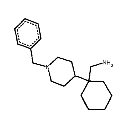 NCC1(C2CCN(Cc3ccccc3)CC2)CCCCC1